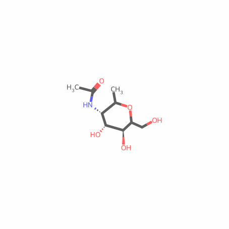 CC(=O)N[C@@H]1C(C)OC(CO)[C@@H](O)[C@@H]1O